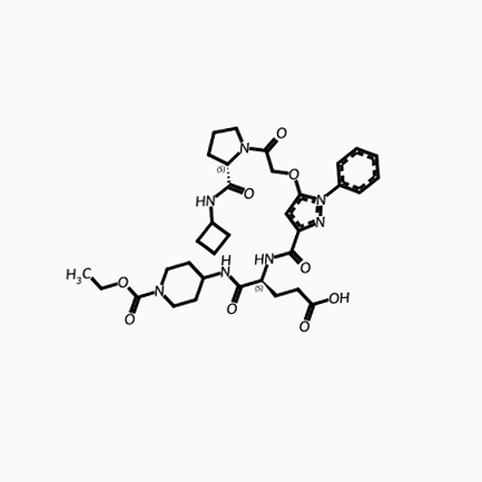 CCOC(=O)N1CCC(NC(=O)[C@H](CCC(=O)O)NC(=O)c2cc(OCC(=O)N3CCC[C@H]3C(=O)NC3CCC3)n(-c3ccccc3)n2)CC1